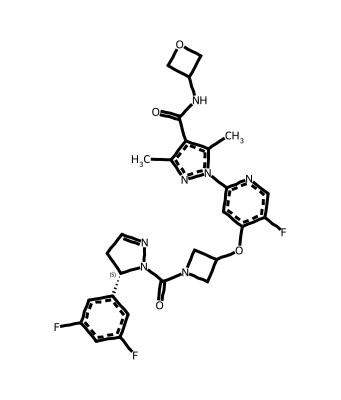 Cc1nn(-c2cc(OC3CN(C(=O)N4N=CC[C@H]4c4cc(F)cc(F)c4)C3)c(F)cn2)c(C)c1C(=O)NC1COC1